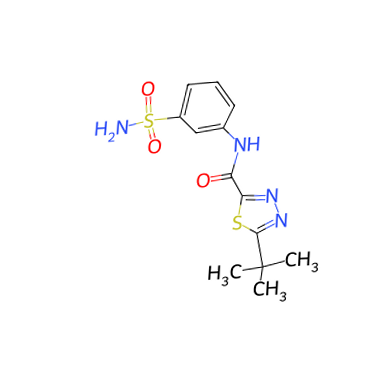 CC(C)(C)c1nnc(C(=O)Nc2cccc(S(N)(=O)=O)c2)s1